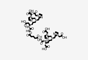 O=C(O)C[C@@H](CCCN(Cc1nccn1CC(=O)O)Cc1nccn1CC(=O)O)NC(=O)NOC(=O)CCCC(=O)ONC(=O)N[C@H](CCCN(Cc1nccn1CC(=O)O)Cc1nccn1CC(=O)O)CC(=O)O